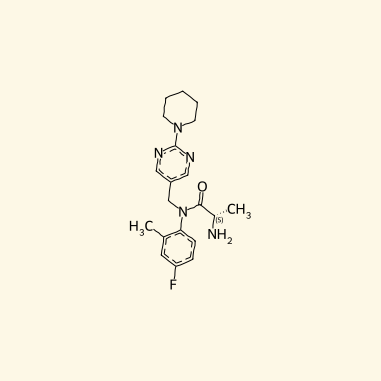 Cc1cc(F)ccc1N(Cc1cnc(N2CCCCC2)nc1)C(=O)[C@H](C)N